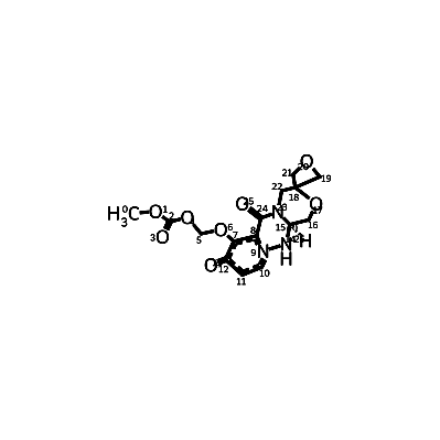 COC(=O)OCOc1c2n(ccc1=O)N[C@@H]1COC3(COC3)CN1C2=O